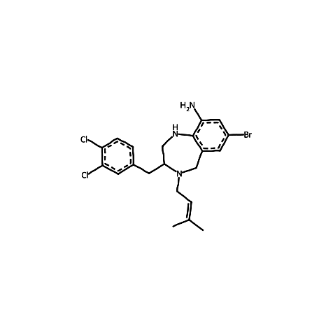 CC(C)=CCN1Cc2cc(Br)cc(N)c2NCC1Cc1ccc(Cl)c(Cl)c1